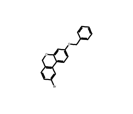 Brc1ccc2c(c1)-c1ccc(OCc3ccccc3)cc1OC2